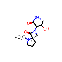 CC(O)C(C(N)=O)N1C[C@@]2(CCCN2C(=O)O)C1=O